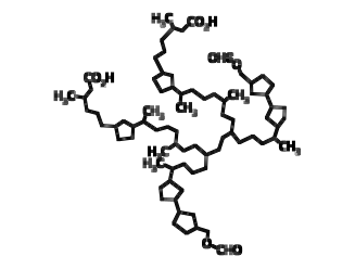 CC(CCCC(C)C1CCC(CCCC(C)CC(=O)O)C1)CCC(CCCC(C)C1CCC(C2CCC(COC=O)C2)C1)CCC(CCCC(C)C1CCC(C2CCC(COC=O)C2)C1)CCC(C)CCCC(C)C1CCC(CCCC(C)CC(=O)O)C1